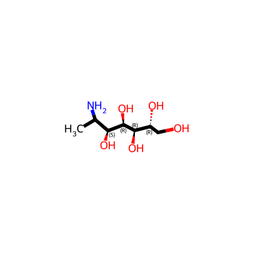 CC(N)[C@H](O)[C@@H](O)[C@H](O)[C@H](O)CO